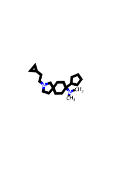 CN(C)C1(C2CCCC2)CCC2(CCN(CCC3CC3)C2)CC1